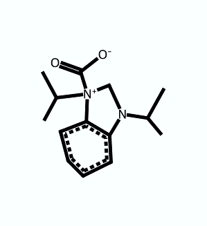 CC(C)N1C[N+](C(=O)[O-])(C(C)C)c2ccccc21